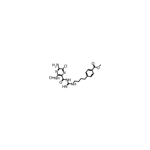 COC(=O)c1ccc(CCCCNC(=N)NC(=O)c2nc(Cl)c(N)nc2NCl)cc1